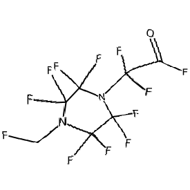 O=C(F)C(F)(F)N1C(F)(F)C(F)(F)N(CF)C(F)(F)C1(F)F